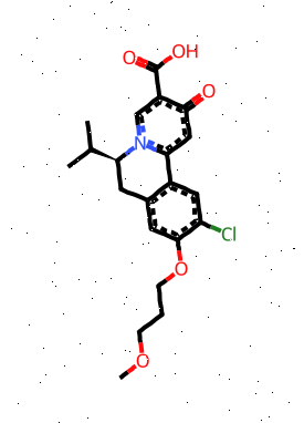 COCCCOc1cc2c(cc1Cl)-c1cc(=O)c(C(=O)O)cn1[C@H](C(C)C)C2